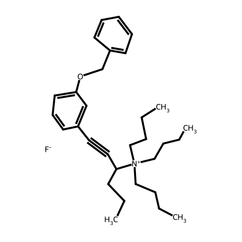 CCCC[N+](CCCC)(CCCC)C(C#Cc1cccc(OCc2ccccc2)c1)CCC.[F-]